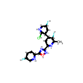 Cc1nc(-c2noc(-c3ccc(F)cn3)n2)cc(-c2cc(F)cnc2Cl)c1F